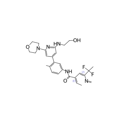 C=N/C(=C\C(=C/C)C(=O)Nc1ccc(C)c(-c2cc(NCCO)nc(N3CCOCC3)c2)c1)C(C)(F)F